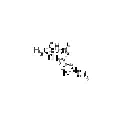 Cn1cc(-c2cc(Cl)cc(C(C)(C)C)c2)cn1